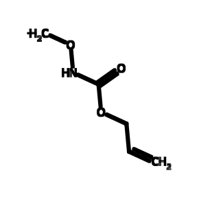 [CH2]ONC(=O)OCC=C